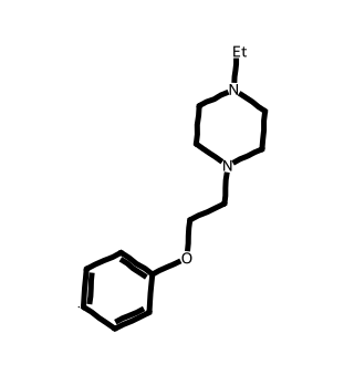 CCN1CCN(CCOc2cc[c]cc2)CC1